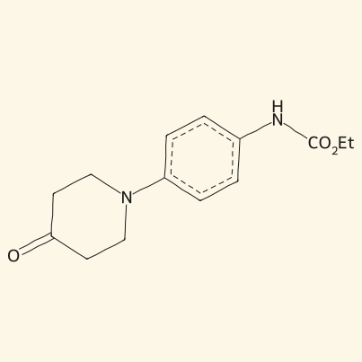 CCOC(=O)Nc1ccc(N2CCC(=O)CC2)cc1